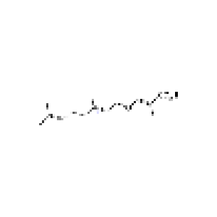 CC(C)=CCC/C(C)=C/COC=C(C)C(=O)O